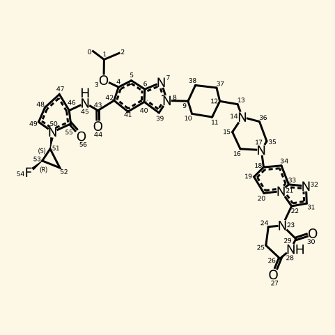 CC(C)Oc1cc2nn(C3CCC(CN4CCN(c5ccn6c(N7CCC(=O)NC7=O)cnc6c5)CC4)CC3)cc2cc1C(=O)Nc1cccn([C@H]2C[C@H]2F)c1=O